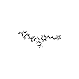 CC(C)(C)OC(=O)N(Cc1coc(C=Cc2ccc(Cl)cc2F)n1)c1ccc(CCCCn2ccnn2)cc1